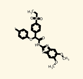 CCS(=O)(=O)c1ccc(C(Oc2ccc(I)cc2)C(=O)Nc2nc3cc(OC)c(OC)cc3s2)cc1